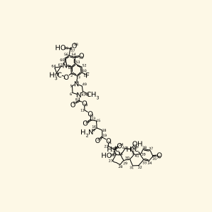 COc1c(N2CCN(C(=O)OCOC(=O)C[C@H](N)CC(=O)OCC(=O)[C@]3(O)CCC4C5CCC6=CC(=O)C=C[C@@]6(C)C5[C@H](O)C[C@]43C)C(C)C2)c(F)cc2c(=O)c(C(=O)O)cn(C3CC3)c12